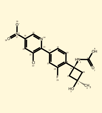 C[C@]1(O)C[C@](NC(=O)O)(c2ccc(-c3ncc([N+](=O)[O-])cc3Cl)cc2F)C1